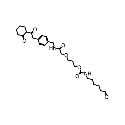 O=CCCCCCNC(=O)OCCCOCC(=O)NCc1ccc(CC(=O)C2CCCCC2=O)cc1